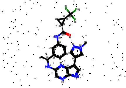 C[C@H](Nc1cnc2[nH]cc(-c3cnn(C)c3)c2n1)c1cccc(NC(=O)[C@@H]2C[C@H]2C(F)(F)F)c1